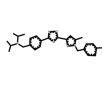 Cc1ccc(Cn2nc(-c3nc(-c4ccc(CN(C(C)C)C(C)C)cc4)no3)cc2C)cc1